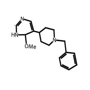 COC1N[C]=NC=C1C1CCN(Cc2ccccc2)CC1